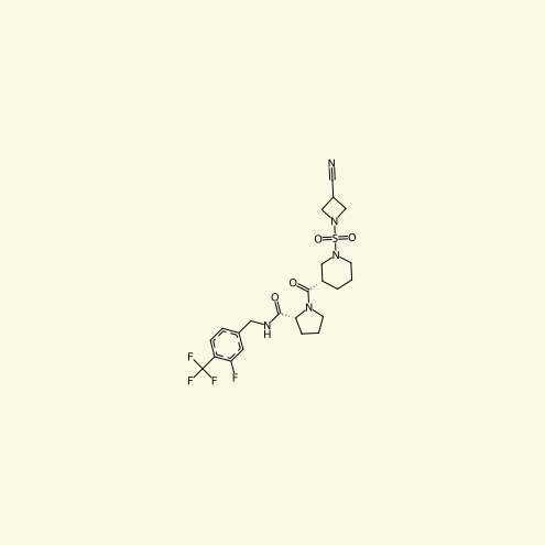 N#CC1CN(S(=O)(=O)N2CCC[C@H](C(=O)N3CCC[C@@H]3C(=O)NCc3ccc(C(F)(F)F)c(F)c3)C2)C1